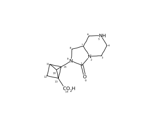 O=C1N2CCNCC2CN1C1C2CC1(C(=O)O)C2